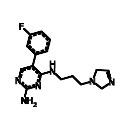 Nc1ncc(-c2cccc(F)c2)c(NCCCN2CC=NC2)n1